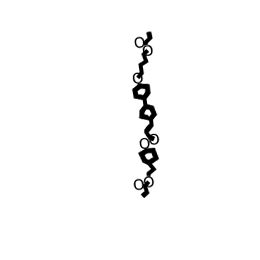 C=CC(=O)OCCCCOc1ccc(-c2ccc(/C=C/C(=O)Oc3ccc(CCOC(=O)C=C)cc3)cc2)cc1